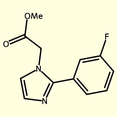 COC(=O)Cn1ccnc1-c1cccc(F)c1